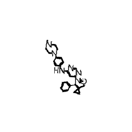 CN1CCN(c2ccc(Nc3cc(N4OCC5(CC5)[C@H]4c4ccccc4)ncn3)cc2)CC1